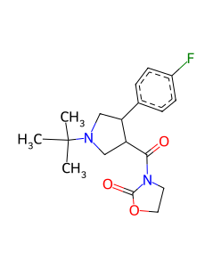 CC(C)(C)N1CC(C(=O)N2CCOC2=O)C(c2ccc(F)cc2)C1